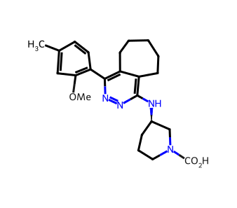 COc1cc(C)ccc1-c1nnc(N[C@@H]2CCCN(C(=O)O)C2)c2c1CCCCC2